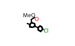 COC(=O)Cc1cc(-c2ccc(Cl)cc2)ccc1C